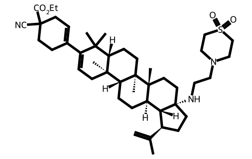 C=C(C)[C@@H]1CC[C@]2(NCCN3CCS(=O)(=O)CC3)CC[C@]3(C)[C@H](CC[C@@H]4[C@@]5(C)CC=C(C6=CCC(C#N)(C(=O)OCC)CC6)C(C)(C)[C@@H]5CC[C@]43C)[C@@H]12